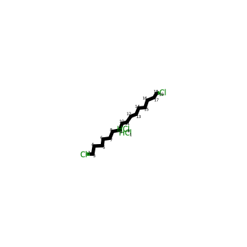 Cl.Cl.ClCCCCCCCCCCCCCCCCCl